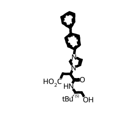 CC(C)(C)[C@@H](CO)NC(=O)C(CC(=O)O)N1C=CN(c2ccc(-c3ccccc3)cc2)C1